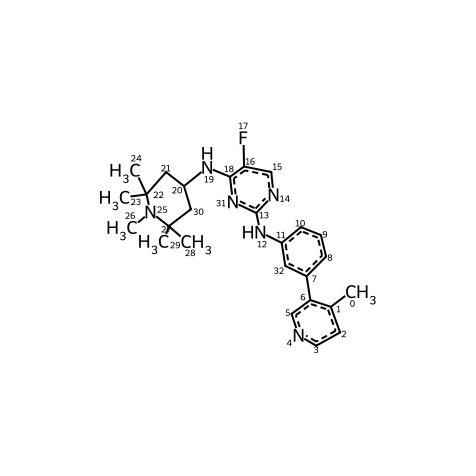 Cc1ccncc1-c1cccc(Nc2ncc(F)c(NC3CC(C)(C)N(C)C(C)(C)C3)n2)c1